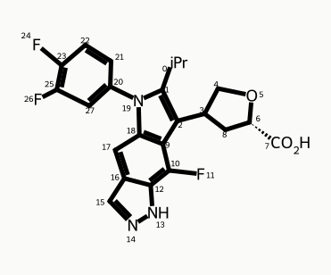 CC(C)c1c(C2CO[C@H](C(=O)O)C2)c2c(F)c3[nH]ncc3cc2n1-c1ccc(F)c(F)c1